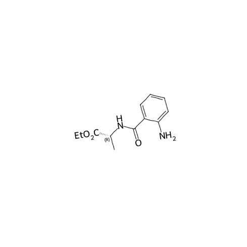 CCOC(=O)[C@@H](C)NC(=O)c1ccccc1N